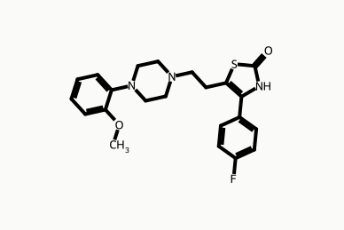 COc1ccccc1N1CCN(CCc2sc(=O)[nH]c2-c2ccc(F)cc2)CC1